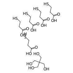 O=C(O)CCS.O=C(O)CCS.O=C(O)CCS.O=C(O)CCS.O=C(O)CCS.OCC(CO)(CO)CO